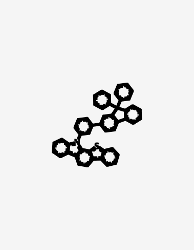 c1ccc(C2(c3ccccc3)c3ccccc3-c3ccc(-c4cccc(-n5c6ccccc6c6ccc7c8ccccc8sc7c65)c4)cc32)cc1